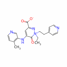 CC[N+]1(CCc2ccncc2)N=C(C(=O)[O-])C=C(Nc2cnccc2C)C1=O